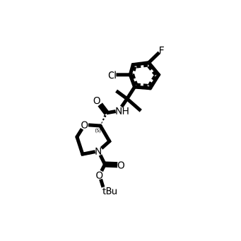 CC(C)(C)OC(=O)N1CCO[C@H](C(=O)NC(C)(C)c2ccc(F)cc2Cl)C1